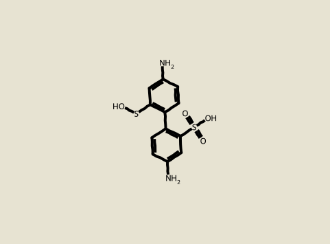 Nc1ccc(-c2ccc(N)cc2S(=O)(=O)O)c(SO)c1